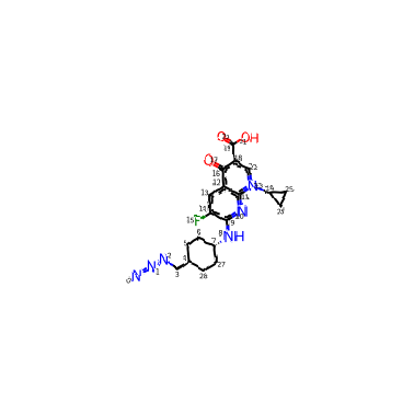 [N-]=[N+]=NC[C@H]1CC[C@H](Nc2nc3c(cc2F)c(=O)c(C(=O)O)cn3C2CC2)CC1